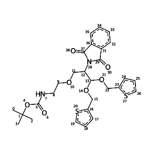 CC(C)(C)OC(=O)NCCOCC(C(OCc1cccs1)OCc1cccs1)N1C(=O)c2ccccc2C1=O